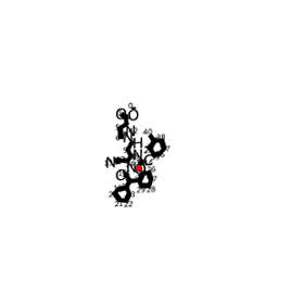 COC(=O)c1ccn(CCCC(C#N)N(C(=O)C(c2ccccc2)c2ccccc2)C(=O)[C@@H](N)Cc2cccc(C)c2)n1